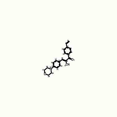 C=Cc1ccc(C(=O)C(C#N)=Cc2ccc(N3CCOCC3)cc2)cc1